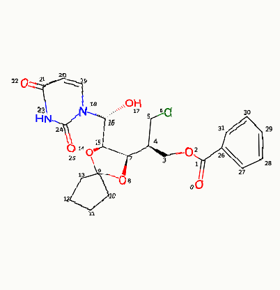 O=C(OC[C@H](CCl)[C@H]1OC2(CCCC2)O[C@H]1[C@@H](O)n1ccc(=O)[nH]c1=O)c1ccccc1